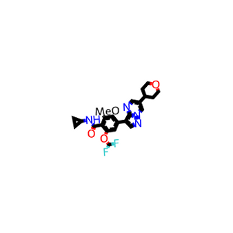 COc1cc(-c2cnn3cc(C4CCOCC4)cnc23)cc(OC(F)F)c1C(=O)NC1CC1